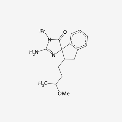 COC(C)CCC1Cc2ccccc2C12N=C(N)N(C(C)C)C2=O